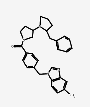 Cc1ccc2c(c1)ncn2Cc1ccc(C(=O)N2CCC(N3CCCC3Cc3ccccc3)C2)cc1